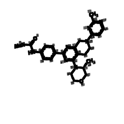 CNC(=O)Nc1ccc(-c2nc3c(c(N4CCOC[C@@H]4C)n2)CCN(c2ccnc(C)n2)C3)cc1